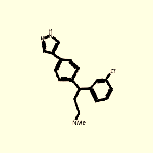 CNCCC(c1ccc(-c2cn[nH]c2)cc1)c1cccc(Cl)c1